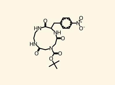 CC(C)(C)OC(=O)N1CC(=O)NCCNC(=O)C(Cc2ccc([N+](=O)[O-])cc2)NC(=O)C1